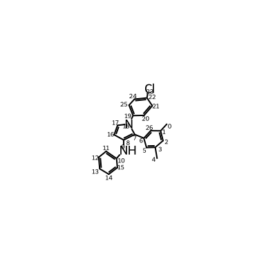 Cc1cc(C)cc(-c2c(Nc3ccccc3)ccn2-c2ccc(Cl)cc2)c1